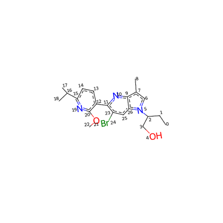 CCC(CO)n1cc(C)c2nc(-c3ccc(C(C)C)nc3OC)c(Br)cc21